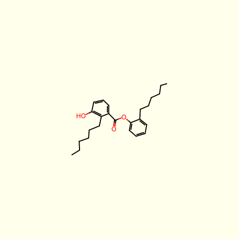 CCCCCCc1ccccc1OC(=O)c1cccc(O)c1CCCCCC